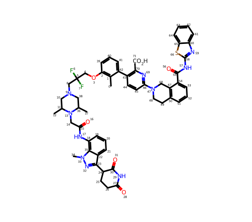 Cc1c(OCC(F)(F)CN2CC(C)N(CC(=O)Nc3cccc4c(C5CCC(=O)NC5=O)nn(C)c34)C(C)C2)cccc1-c1ccc(N2CCc3cccc(C(=O)Nc4nc5ccccc5s4)c3C2)nc1C(=O)O